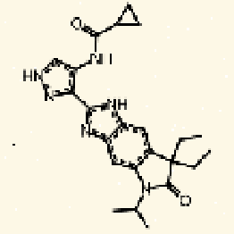 CCC1(CC)C(=O)N(C(C)C)c2cc3nc(-c4n[nH]cc4NC(=O)C4CC4)[nH]c3cc21